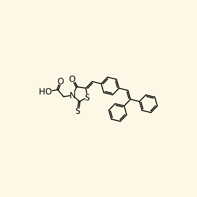 O=C(O)CN1C(=O)/C(=C/c2ccc(C=C(c3ccccc3)c3ccccc3)cc2)SC1=S